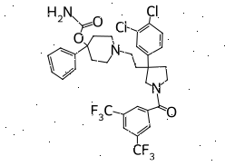 NC(=O)OC1(c2ccccc2)CCN(CCC2(c3ccc(Cl)c(Cl)c3)CCN(C(=O)c3cc(C(F)(F)F)cc(C(F)(F)F)c3)C2)CC1